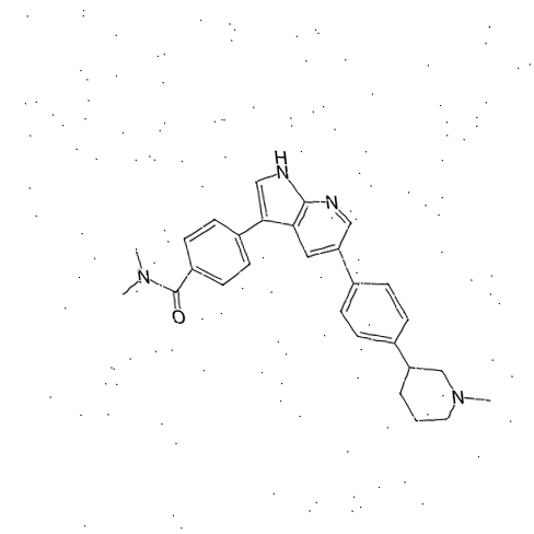 CN1CCCC(c2ccc(-c3cnc4[nH]cc(-c5ccc(C(=O)N(C)C)cc5)c4c3)cc2)C1